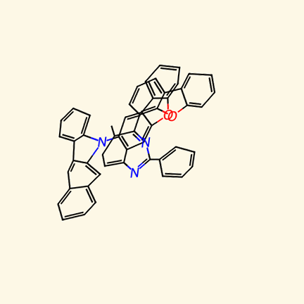 CC1C/C=C(c2cc3oc4ccccc4c3cc2-n2c3ccccc3c3cc4ccccc4cc32)/N=C(c2ccccc2)\N=C/1c1cccc2c1oc1ccccc12